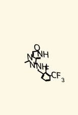 Cc1nc(NCc2cccc(C(F)(F)F)c2F)c2c[nH]c(=O)cc2n1